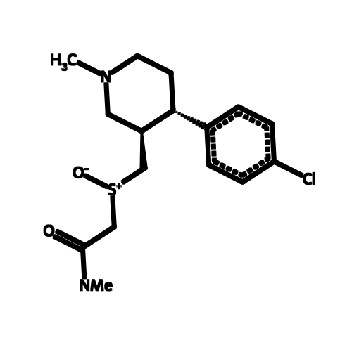 CNC(=O)C[S+]([O-])C[C@H]1CN(C)CC[C@@H]1c1ccc(Cl)cc1